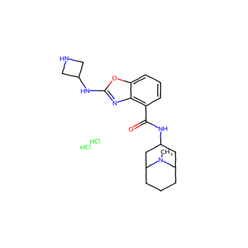 CN1C2CCCC1CC(NC(=O)c1cccc3oc(NC4CNC4)nc13)C2.Cl.Cl